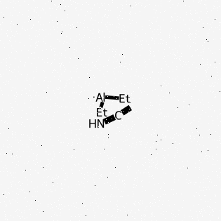 C=C=N.C[CH2][Al][CH2]C